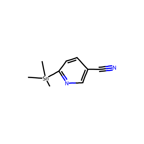 [CH3][Sn]([CH3])([CH3])[c]1ccc(C#N)cn1